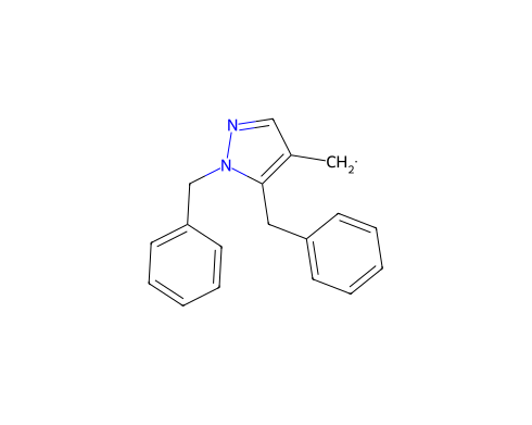 [CH2]c1cnn(Cc2ccccc2)c1Cc1ccccc1